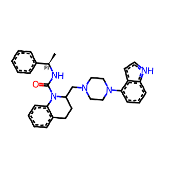 C[C@@H](NC(=O)N1c2ccccc2CCC1CN1CCN(c2cccc3[nH]ccc23)CC1)c1ccccc1